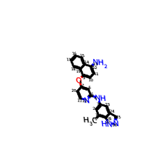 Cc1cc(Nc2cc(Oc3ccc(N)c4ccccc34)ccn2)cc2cn[nH]c12